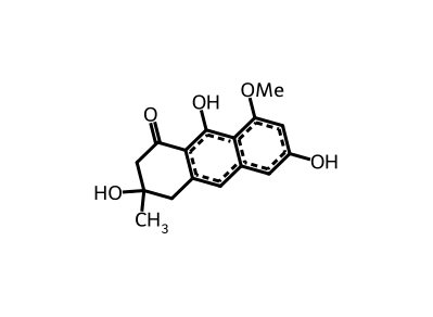 COc1cc(O)cc2cc3c(c(O)c12)C(=O)CC(C)(O)C3